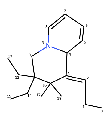 CC/C=C1/C2C=CC=CN2CC(CC)(CC)C1(C)C